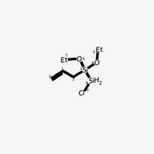 C=CC[Si](OCC)(OCC)[SiH2]Cl